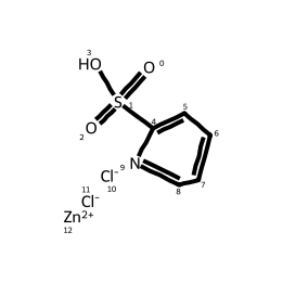 O=S(=O)(O)c1ccccn1.[Cl-].[Cl-].[Zn+2]